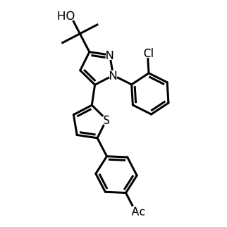 CC(=O)c1ccc(-c2ccc(-c3cc(C(C)(C)O)nn3-c3ccccc3Cl)s2)cc1